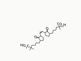 CC(C)(CCCCC1CCC(/C=C\C2CCC(CCCCC(C)(C)C(=O)O)C2=O)C1=O)C(=O)O